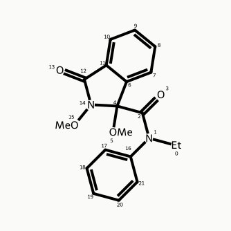 CCN(C(=O)C1(OC)c2ccccc2C(=O)N1OC)c1ccccc1